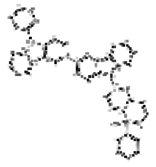 O=S1(c2ccccc2)=NC=Cc2cc(-n3c4ccccc4c4cc(-c5ccc6c(c5)c5ccccc5n6-c5ccccc5)ccc43)ccc21